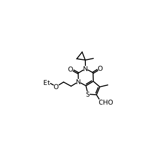 CCOCCn1c(=O)n(C2(C)CC2)c(=O)c2c(C)c(C=O)sc21